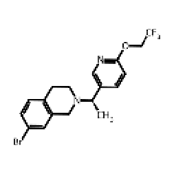 C[C@H](c1ccc(OCC(F)(F)F)nc1)N1CCc2ccc(Br)cc2C1